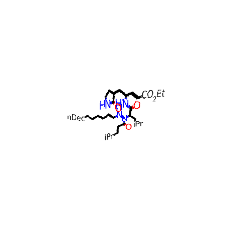 CCCCCCCCCCCCCCCCNN(C(=O)CCC(C)C)C(CC(C)C)C(=O)NC(C=CC(=O)OCC)CC1CCNC1=O